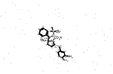 CC(C)(C)[C@@]1([C@H](O[Si](C)(C)C(C)(C)C)c2ccccc2)CC[C@@H](Cc2ccc(N)c(N)c2)N1C(=O)O